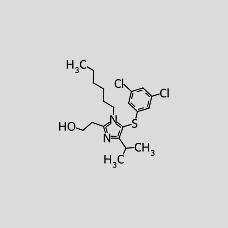 CCCCCCn1c(CCO)nc(C(C)C)c1Sc1cc(Cl)cc(Cl)c1